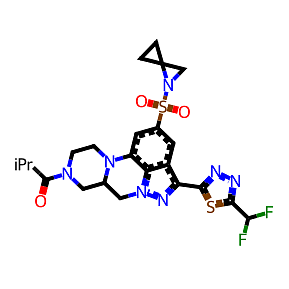 CC(C)C(=O)N1CCN2c3cc(S(=O)(=O)N4CC45CC5)cc4c(-c5nnc(C(F)F)s5)nn(c34)CC2C1